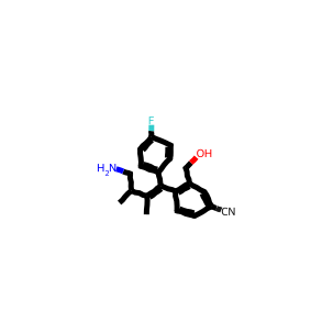 CC(=C(c1ccc(F)cc1)c1ccc(C#N)cc1CO)C(C)CN